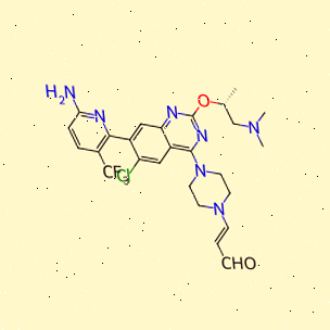 C[C@H](CN(C)C)Oc1nc(N2CCN(C=CC=O)CC2)c2cc(Cl)c(-c3nc(N)ccc3C(F)(F)F)cc2n1